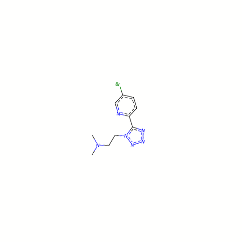 CN(C)CCn1nnnc1-c1ccc(Br)cn1